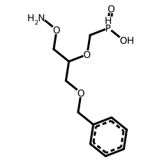 NOCC(COCc1ccccc1)OC[PH](=O)O